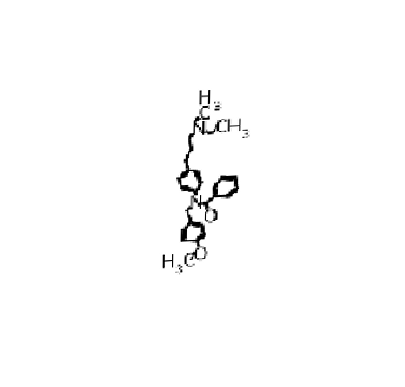 CCN(CC)CCCc1ccc(N(Cc2ccc(OC)cc2)C(=O)c2ccccc2)cc1